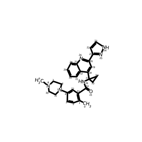 Cc1ccc(N2CCN(C)CC2)cc1C(=O)NC1(c2cc(-c3cc[nH]n3)nc3ccccc23)CC1